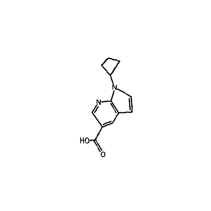 O=C(O)c1cnc2c(ccn2C2CCC2)c1